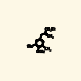 C=C(Cc1cc(C)c(OC)c(C(C)(C)C)c1)C(=O)OCC